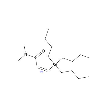 CCC[CH2][Sn](/[CH]=C\C(=O)N(C)C)([CH2]CCC)[CH2]CCC